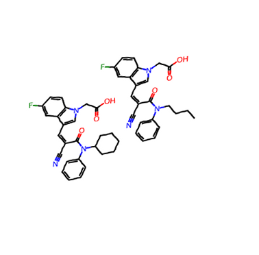 CCCCN(C(=O)C(C#N)=Cc1cn(CC(=O)O)c2ccc(F)cc12)c1ccccc1.N#CC(=Cc1cn(CC(=O)O)c2ccc(F)cc12)C(=O)N(c1ccccc1)C1CCCCC1